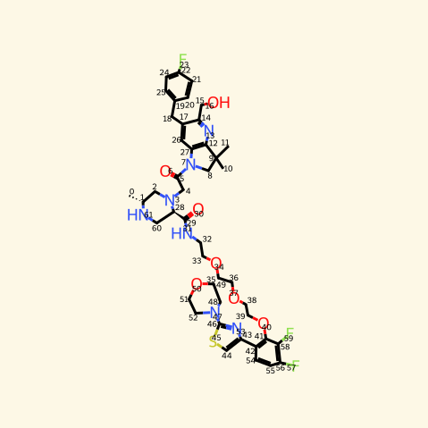 C[C@@H]1CN(CC(=O)N2CC(C)(C)c3nc(CO)c(Cc4ccc(F)cc4)cc32)[C@@H](C(=O)NCCOCCOCCOc2c(-c3csc(N4CCOCC4)n3)ccc(F)c2F)CN1